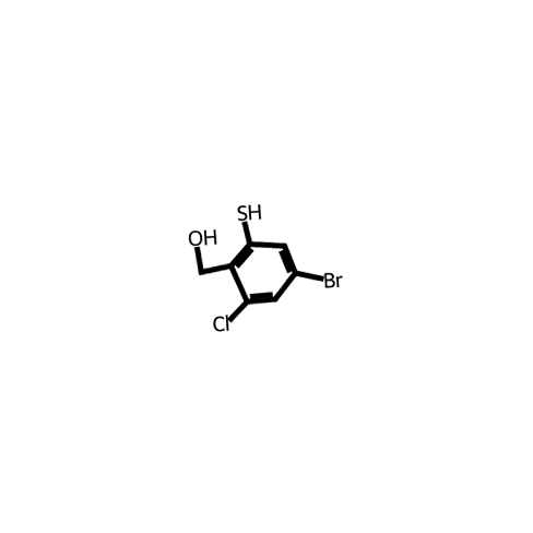 OCc1c(S)cc(Br)cc1Cl